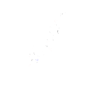 C=CCOc1ccc(COC(=O)CCC2NC(=O)OC2=O)cc1